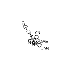 CCOc1ncccc1C1(N2CC(N3CCC(N4CCC5(CC4)COC5)CC3)C2)C(=O)N(S(=O)(=O)c2ccc(OC)cc2OC)c2ccc(C#N)cc21